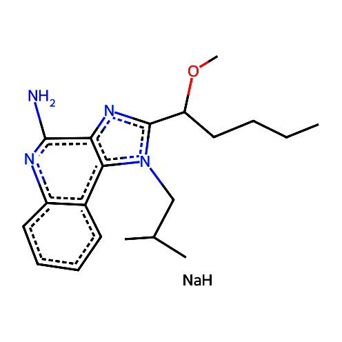 CCCCC(OC)c1nc2c(N)nc3ccccc3c2n1CC(C)C.[NaH]